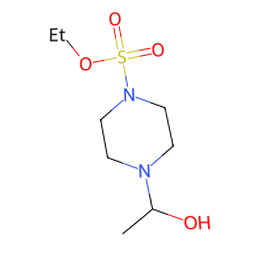 CCOS(=O)(=O)N1CCN(C(C)O)CC1